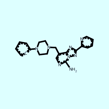 Nc1ncc(CN2CCN(c3ccccc3)CC2)c2nc(-c3ccccn3)nn12